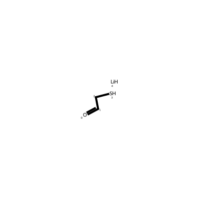 O=CCS.[LiH]